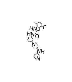 Cc1ccc(F)c2cc(C(=O)Nc3cccc(N4CCC(Nc5cccnc5)CC4)c3)[nH]c12